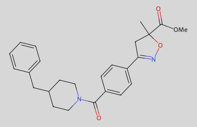 COC(=O)C1(C)CC(c2ccc(C(=O)N3CCC(Cc4ccccc4)CC3)cc2)=NO1